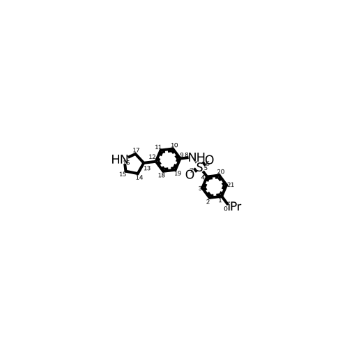 CC(C)c1ccc(S(=O)(=O)Nc2ccc(C3CCNC3)cc2)cc1